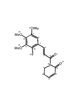 COc1cc(/C=C/C(=O)N2CCC=CC2=O)c(F)c(OC)c1OC